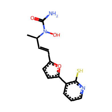 CC(/C=C/c1ccc(-c2cccnc2S)o1)N(O)C(N)=O